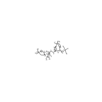 CC(C)(C)OC(C[SiH2]CC[SiH2]CC(OC(C)(C)C)OC(C)(C)C)OC(C)(C)C